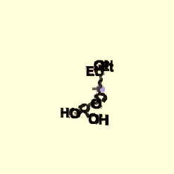 CCC(O)(CC)CCCC/C=C(\C)c1cccc(OCc2ccc(CO)c(CO)c2)c1